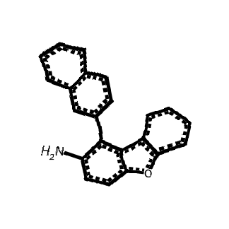 Nc1ccc2oc3ccccc3c2c1-c1ccc2ccccc2c1